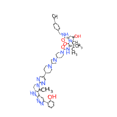 C#Cc1ccc(CNC(=O)[C@@H]2C[C@@H](O)CN2C(=O)[C@@H](NC(=O)N2CCC(N3CC(N4CCC(c5cnc(N6CCc7[nH]c8nnc(-c9ccccc9O)cc8c7[C@H]6C)nc5)CC4)C3)CC2)C(C)(C)C)cc1